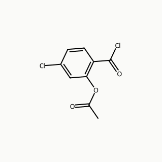 CC(=O)Oc1cc(Cl)ccc1C(=O)Cl